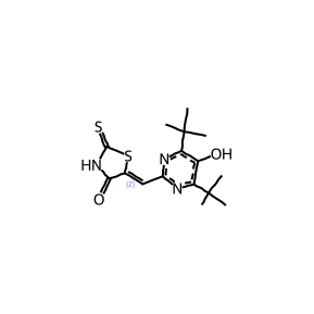 CC(C)(C)c1nc(/C=C2\SC(=S)NC2=O)nc(C(C)(C)C)c1O